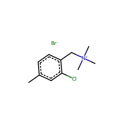 Cc1ccc(C[N+](C)(C)C)c(Cl)c1.[Br-]